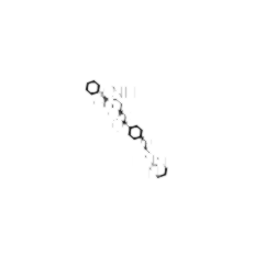 CN([C@H](N)CC(=O)OC(=O)c1ccc(OCCNc2ncccn2)cc1)S(=O)(=O)c1ccccc1